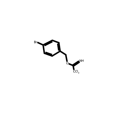 N=C(OCc1ccc(Br)cc1)C(Cl)(Cl)Cl